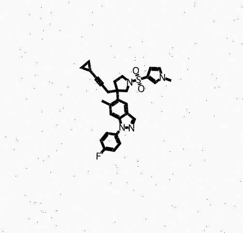 Cc1cc2c(cnn2-c2ccc(F)cc2)cc1C1(CC#CC2CC2)CCN(S(=O)(=O)c2ccn(C)c2)C1